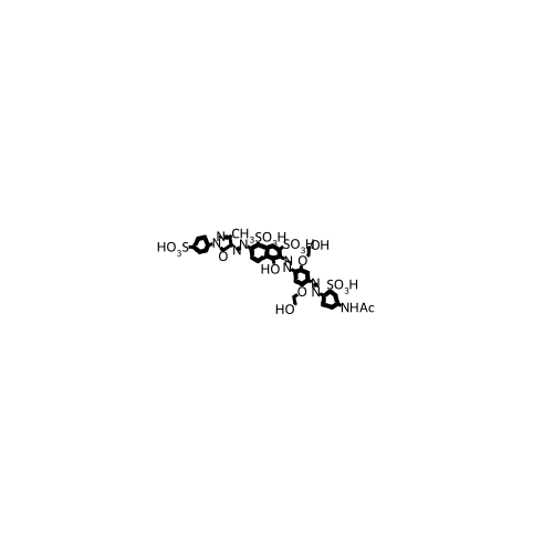 CC(=O)Nc1ccc(/N=N/c2cc(OCCO)c(/N=N/c3c(S(=O)(=O)O)cc4c(S(=O)(=O)O)c(/N=N/C5C(=O)N(c6ccc(S(=O)(=O)O)cc6)N=C5C)ccc4c3O)cc2OCCO)c(S(=O)(=O)O)c1